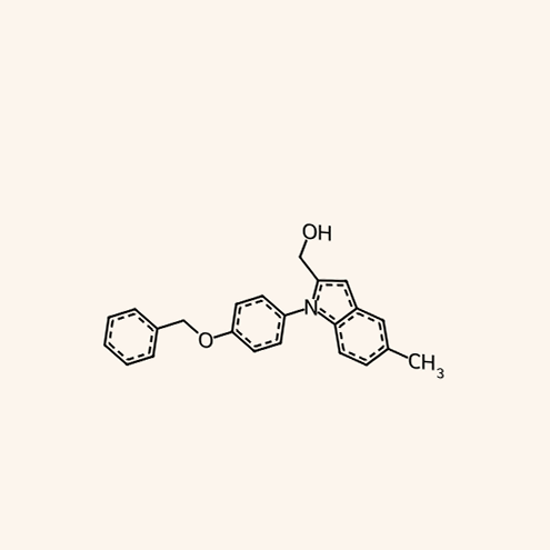 Cc1ccc2c(c1)cc(CO)n2-c1ccc(OCc2ccccc2)cc1